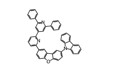 c1ccc(-c2cc(-c3cccc(-c4ccc5oc6ccc(-n7c8ccccc8c8ccccc87)cc6c5c4)n3)cc(-c3ccccc3)n2)cc1